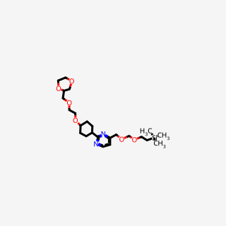 C[Si](C)(C)CCOCOCc1ccnc(C2CCC(OCCOCC3COCCO3)CC2)n1